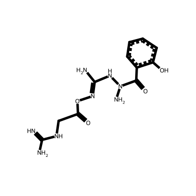 N=C(N)NCC(=O)ON=C(N)NN(N)C(=O)c1ccccc1O